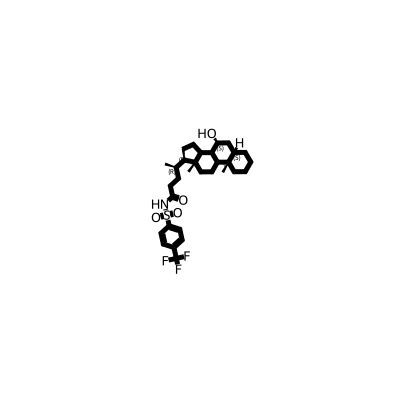 C[C@H](CCC(=O)NS(=O)(=O)c1ccc(C(F)(F)F)cc1)[C@H]1CCC2C3C(CC[C@@]21C)[C@@]1(C)CCCC[C@H]1C[C@@H]3O